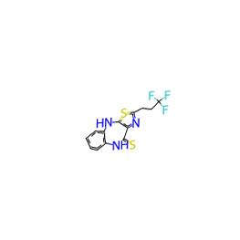 FC(F)(F)CCc1nc2c(s1)Nc1ccccc1NC2=S